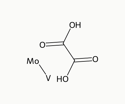 O=C(O)C(=O)O.[V][Mo]